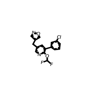 FC(F)Oc1ncc(Cc2cnoc2)cc1-c1cccc(Cl)c1